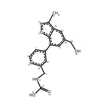 Cc1noc2c(-c3ccnc(CNC(=O)O)c3)cc(CO)cc12